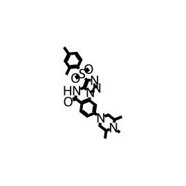 Cc1ccc(S(=O)(=O)c2nnn3c2[nH]c(=O)c2ccc(N4CC(C)N(C)C(C)C4)cc23)c(C)c1